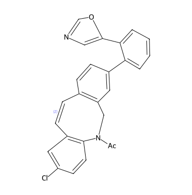 CC(=O)N1Cc2cc(-c3ccccc3-c3cnco3)ccc2/C=C\c2cc(Cl)ccc21